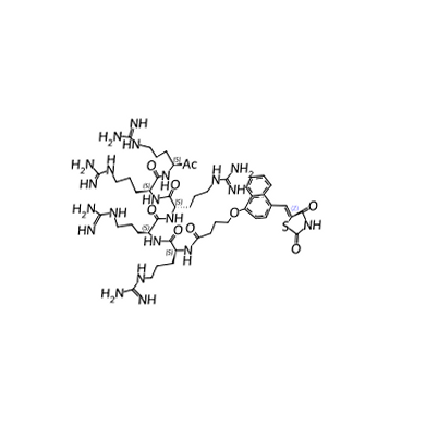 CC(=O)[C@H](CCCNC(=N)N)NC(=O)[C@H](CCCNC(=N)N)NC(=O)[C@H](CCCNC(=N)N)NC(=O)[C@H](CCCNC(=N)N)NC(=O)[C@H](CCCNC(=N)N)NC(=O)CCCOc1ccc(/C=C2\SC(=O)NC2=O)c2ccccc12